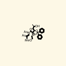 COCCO[C@@H]1[C@H](O[Si](c2ccccc2)(c2ccccc2)C(C)(C)C)[C@@H]([C@@H](C)O)O[C@H]1N(/C=C(/C)C(C)=O)C(C)=O